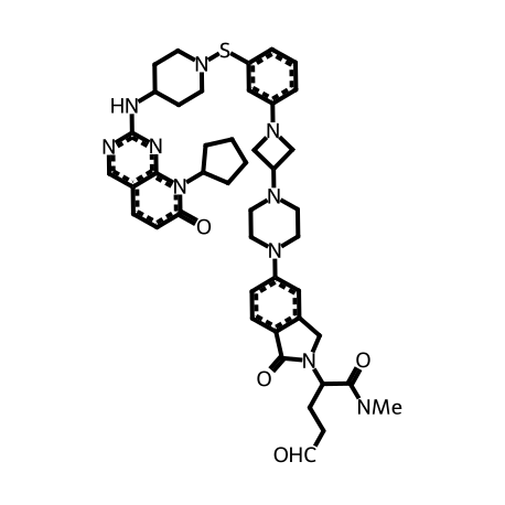 CNC(=O)C(CCC=O)N1Cc2cc(N3CCN(C4CN(c5cccc(SN6CCC(Nc7ncc8ccc(=O)n(C9CCCC9)c8n7)CC6)c5)C4)CC3)ccc2C1=O